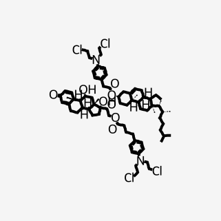 CC(C)CCC[C@@H](C)[C@H]1CC[C@H]2[C@@H]3CC=C4C[C@@H](OC(=O)Cc5ccc(N(CCCl)CCCl)cc5)CC[C@]4(C)[C@H]3CC[C@]12C.C[C@]12C=CC(=O)C=C1CC[C@@H]1[C@@H]2[C@@H](O)C[C@@]2(C)[C@H]1CC[C@]2(O)C(=O)COC(=O)CCCc1ccc(N(CCCl)CCCl)cc1